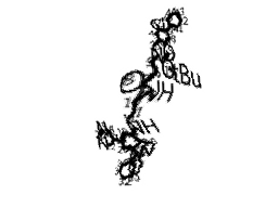 CC(C)(C)OC(=O)N(CCC(=O)NCCCNc1cc(-c2cncnc2)cc2c1cnn2C1CCCCO1)Cc1ccc(-c2ccccc2)c(Cl)c1